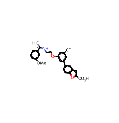 COc1cccc([C@@H](C)NCCOc2cc(-c3ccc4oc(C(=O)O)cc4c3)cc(C(F)(F)F)c2)c1